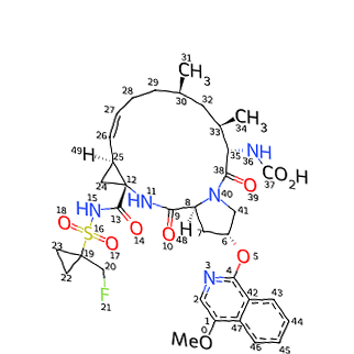 COc1cnc(O[C@@H]2C[C@H]3C(=O)N[C@]4(C(=O)NS(=O)(=O)C5(CF)CC5)C[C@H]4/C=C\CC[C@@H](C)C[C@@H](C)[C@H](NC(=O)O)C(=O)N3C2)c2ccccc12